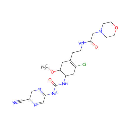 COC1CC(CCNC(=O)CN2CCOCC2)=C(Cl)CC1NC(=O)NC1=NCC(C#N)N=C1